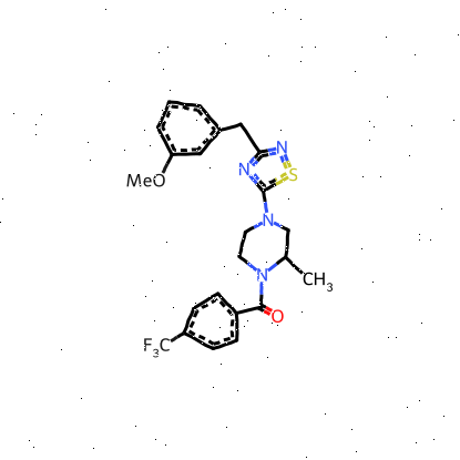 COc1cccc(Cc2nsc(N3CCN(C(=O)c4ccc(C(F)(F)F)cc4)C(C)C3)n2)c1